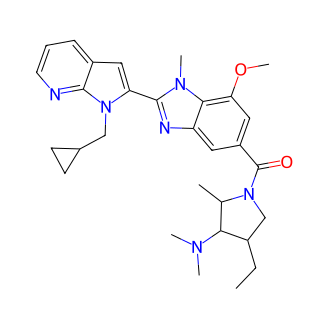 CCC1CN(C(=O)c2cc(OC)c3c(c2)nc(-c2cc4cccnc4n2CC2CC2)n3C)C(C)C1N(C)C